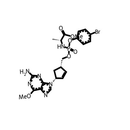 COC(=O)[C@@H](C)NP(=O)(OC[C@@H]1C=C[C@H](n2cnc3c(OC)nc(N)nc32)C1)Oc1ccc(Br)cc1